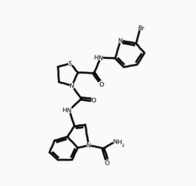 NC(=O)n1cc(NC(=O)N2CCSC2C(=O)Nc2cccc(Br)n2)c2ccccc21